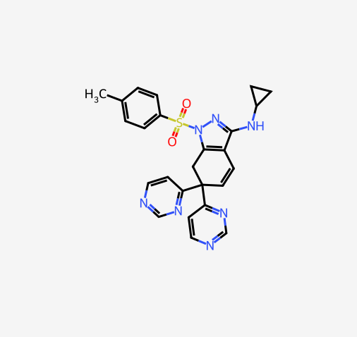 Cc1ccc(S(=O)(=O)n2nc(NC3CC3)c3c2CC(c2ccncn2)(c2ccncn2)C=C3)cc1